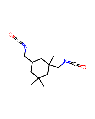 CC1(C)CC(CN=C=O)CC(C)(CN=C=O)C1